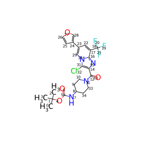 CC(C)(C)OC(=O)NC1CCN(C(=O)c2nc3c(C(F)(F)F)cc(-c4ccoc4)cn3c2Cl)CC1